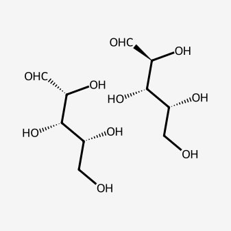 O=C[C@@H](O)[C@@H](O)[C@H](O)CO.O=C[C@H](O)[C@@H](O)[C@H](O)CO